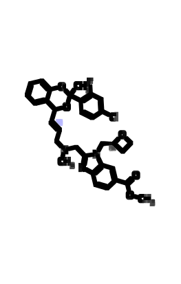 COC(=O)c1ccc2nc(CN(C)C/C=C/C3OC(C)(c4ccc(Cl)cc4F)Oc4ccccc43)n(C[C@@H]3CCO3)c2c1